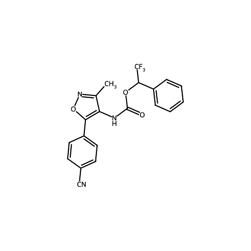 Cc1noc(-c2ccc(C#N)cc2)c1NC(=O)OC(c1ccccc1)C(F)(F)F